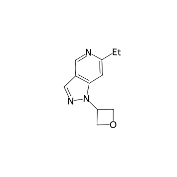 CCc1cc2c(cn1)cnn2C1COC1